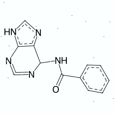 O=C(NC1N=C=Nc2[nH]cnc21)c1ccccc1